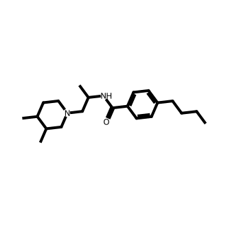 CCCCc1ccc(C(=O)NC(C)CN2CCC(C)C(C)C2)cc1